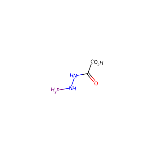 O=C(O)C(=O)NNP